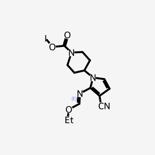 CCO/C=N/c1c(C#N)ccn1C1CCN(C(=O)OI)CC1